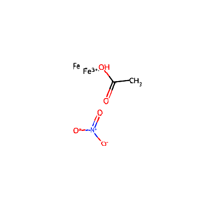 CC(=O)O.O=[N+]([O-])[O-].[Fe+3].[Fe]